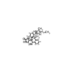 CCCNC(C)NNc1ccc(Cn2c(=O)[nH]c3cnc(-c4ccccc4C(C)C)nc32)cc1